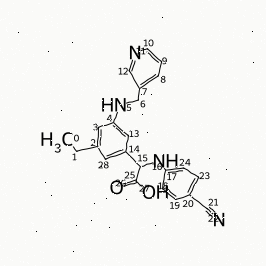 CCc1cc(NCc2cccnc2)cc(C(Nc2ccc(C#N)cc2)C(=O)O)c1